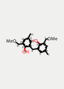 COCc1cc(C)cc(Cc2cc(C)cc(COC)c2O)c1O